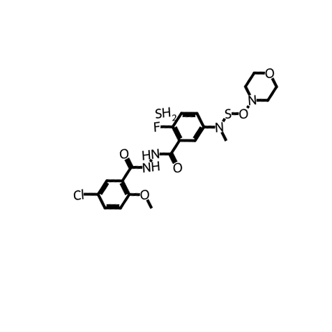 COc1ccc(Cl)cc1C(=O)NNC(=O)c1cc(N(C)SON2CCOCC2)ccc1F.S